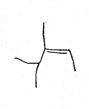 [CH2]C(=CC)C(C)C